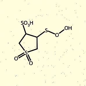 O=S1(=O)CC(SOO)C(S(=O)(=O)O)C1